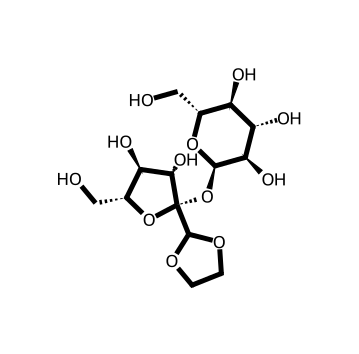 OC[C@H]1O[C@](O[C@H]2O[C@H](CO)[C@@H](O)[C@H](O)[C@H]2O)(C2OCCO2)[C@@H](O)[C@@H]1O